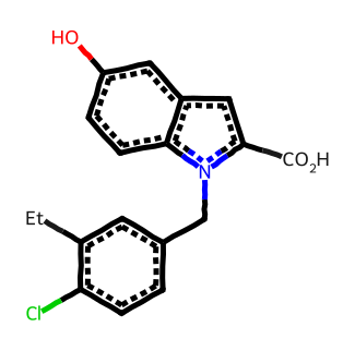 CCc1cc(Cn2c(C(=O)O)cc3cc(O)ccc32)ccc1Cl